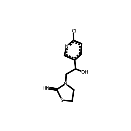 N=C1SCCN1CC(O)c1ccc(Cl)nc1